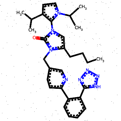 CCCCc1cn(-c2c(C(C)C)ccn2C(C)C)c(=O)n1Cc1ccc(-c2ccccc2-c2nnn[nH]2)nc1